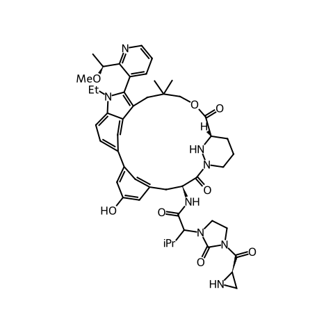 CCn1c(-c2cccnc2[C@H](C)OC)c2c3cc(ccc31)-c1cc(O)cc(c1)C[C@H](NC(=O)C(C(C)C)N1CCN(C(=O)[C@H]3CN3)C1=O)C(=O)N1CCC[C@H](N1)C(=O)OCC(C)(C)C2